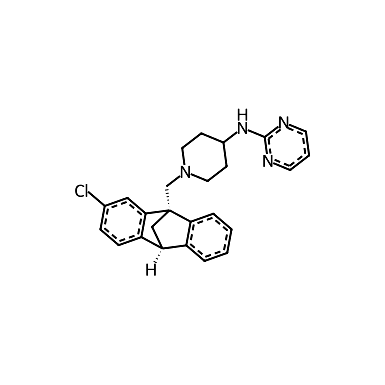 Clc1ccc2c(c1)[C@]1(CN3CCC(Nc4ncccn4)CC3)C[C@H]2c2ccccc21